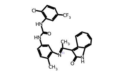 C/C(=N\c1cc(NC(=O)Nc2cc(C(F)(F)F)ccc2Cl)ccc1C)c1c2cccccc-2[nH]c1=O